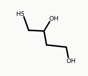 OCCC(O)CS